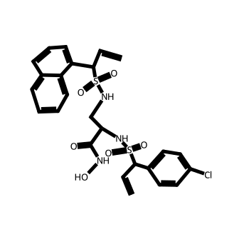 C=CC(c1ccc(Cl)cc1)S(=O)(=O)NC(CNS(=O)(=O)C(C=C)c1cccc2ccccc12)C(=O)NO